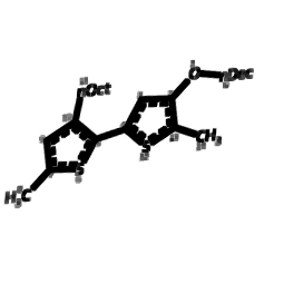 CCCCCCCCCCOc1cc(-c2sc(C)cc2CCCCCCCC)sc1C